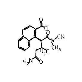 CC(CC(N)=O)C(C(=O)N(C)C#N)c1c(C(=O)Cl)ccc2ccccc12